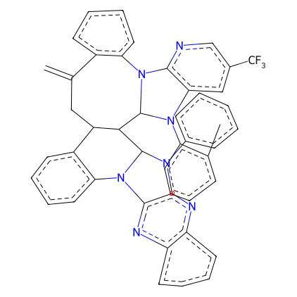 C=C1CC2c3ccccc3N3c4nc5ccccc5nc4N(c4ccccc4)C3C2C2N(c3ccccc3C)c3cc(C(F)(F)F)cnc3N2c2ccccc21